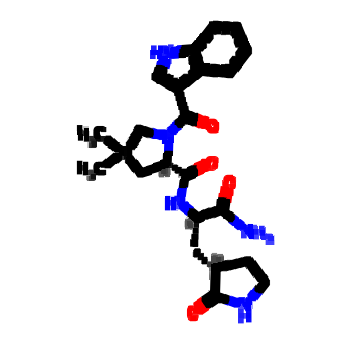 C[Si]1(C)C[C@@H](C(=O)N[C@@H](C[C@@H]2CCNC2=O)C(N)=O)N(C(=O)c2c[nH]c3ccccc23)C1